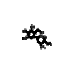 CN(CC(=O)N1C[C@H](O)[C@@H](O)[C@@H](O)C1CO)C(=N)N